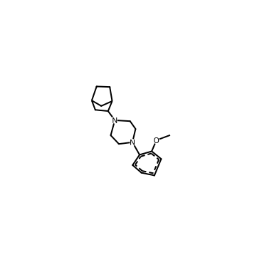 COc1ccccc1N1CCN(C2CC3CCC2C3)CC1